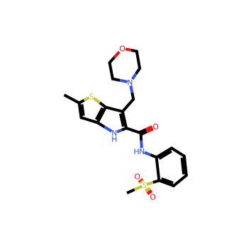 Cc1cc2[nH]c(C(=O)Nc3ccccc3S(C)(=O)=O)c(CN3CCOCC3)c2s1